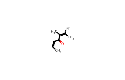 C/C=C\C(=O)/C(C)=C(\C)C(C)C